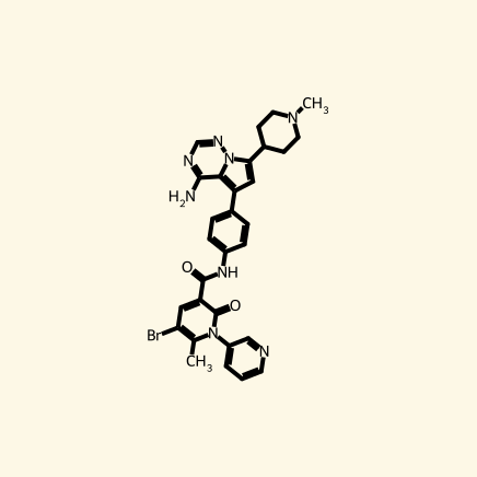 Cc1c(Br)cc(C(=O)Nc2ccc(-c3cc(C4CCN(C)CC4)n4ncnc(N)c34)cc2)c(=O)n1-c1cccnc1